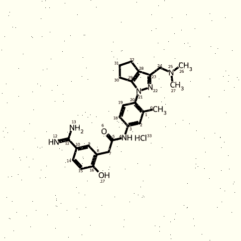 Cc1cc(NC(=O)Cc2cc(C(=N)N)ccc2O)ccc1-n1nc(CN(C)C)c2c1CCC2.Cl